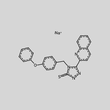 S=c1[n-]nc(-c2ccc3ccccc3n2)n1Cc1ccc(Oc2ccccc2)cc1.[Na+]